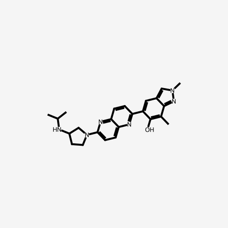 Cc1c(O)c(-c2ccc3nc(N4CCC(NC(C)C)C4)ccc3n2)cc2cn(C)nc12